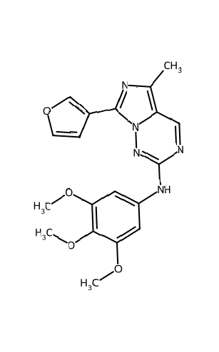 COc1cc(Nc2ncc3c(C)nc(-c4ccoc4)n3n2)cc(OC)c1OC